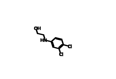 OCCNc1ccc(Cl)c(Cl)c1